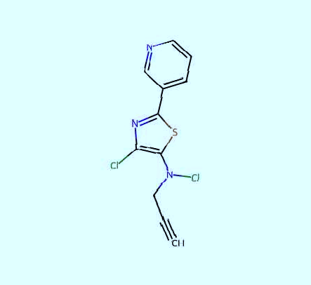 C#CCN(Cl)c1sc(-c2cccnc2)nc1Cl